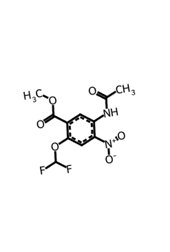 COC(=O)c1cc(NC(C)=O)c([N+](=O)[O-])cc1OC(F)F